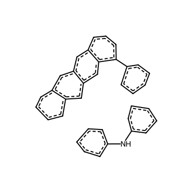 c1ccc(-c2cccc3cc4cc5ccccc5cc4cc23)cc1.c1ccc(Nc2ccccc2)cc1